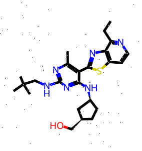 CCc1nccc2sc(-c3c(C)nc(NCC(C)(C)C)nc3N[C@H]3CC[C@@H](CO)C3)nc12